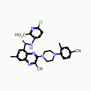 Cc1cc([C@@H](C)Nc2ccc(Cl)nc2C(=O)O)c2nc(N3CCN(c4ccc(C#N)cc4C)CC3)c(C#N)nc2c1